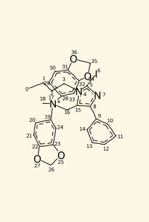 CCCCn1c(I)nc(-c2ccccc2)c1C[N+](C)(c1ccc2c(c1)OCO2)c1ccc2c(c1)OCO2